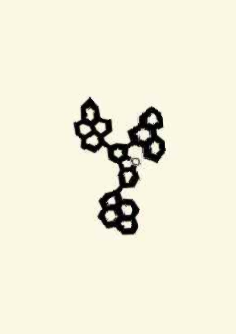 C1=CC2Oc3c(-c4cc5ccccc5c5ccccc45)cc(C4=C5C=Cc6cccc7c6C5C(C=C4)C=C7)cc3C2C=C1c1ccc2ccc3cccc4ccc1c2c34